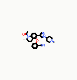 CC(=O)N1c2ccc(-c3cnn(C4CCN(C)CC4)c3)c(Oc3ccccc3C#N)c2CC[C@@H]1C